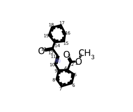 COC(=O)c1ccccc1/C=C/C(=O)c1ccccc1